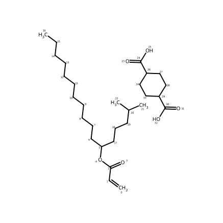 C=CC(=O)OC(CCCCCCCCCCC)CCCC(C)C.O=C(O)C1CCC(C(=O)O)CC1